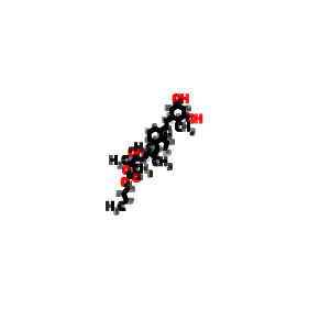 C=C1/C(=C\C=C2/CCC[C@]3(C)[C@@H]([C@H](C)/C=C/[C@H](O)C(C)(C)OC(=O)OCCCC)CC[C@@H]23)C[C@@H](O)C[C@@H]1O